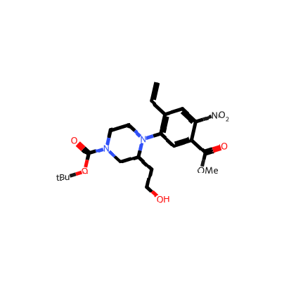 C=Cc1cc([N+](=O)[O-])c(C(=O)OC)cc1N1CCN(C(=O)OC(C)(C)C)CC1CCO